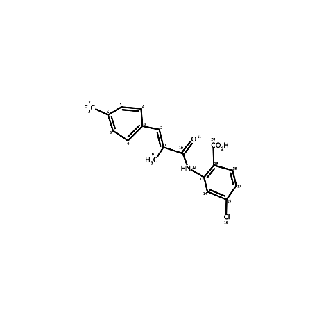 C/C(=C\c1ccc(C(F)(F)F)cc1)C(=O)Nc1cc(Cl)ccc1C(=O)O